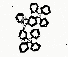 C1=CN2c3cc([Si](c4ccccc4)(c4ccccc4)c4ccccc4)ccc3N(c3cccc([Si](c4ccccc4)(c4ccccc4)c4ccccc4)c3)N2C=C1